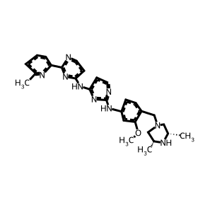 COc1cc(Nc2nccc(Nc3ccnc(-c4cccc(C)n4)n3)n2)ccc1CN1C[C@@H](C)N[C@@H](C)C1